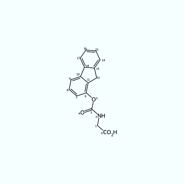 O=C(O)CNC(=O)Oc1cccc2c1Cc1ccccc1-2